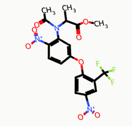 COC(=O)C(C)N(C(C)=O)c1cc(Oc2ccc([N+](=O)[O-])cc2C(F)(F)F)ccc1[N+](=O)[O-]